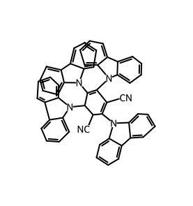 N#CC1=C(n2c3ccccc3c3ccccc32)C(C#N)C(n2c3ccccc3c3ccccc32)C(n2c3ccccc3c3ccccc32)=C1n1c2ccccc2c2ccccc21